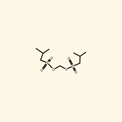 CC(C)CS(=O)(=O)OCOS(=O)(=O)CC(C)C